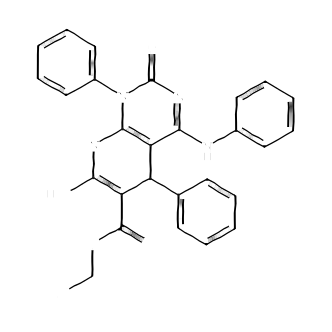 CCOC(=O)C1=C(C)Nc2c(c(Nc3ccccc3)nc(=O)n2-c2ccccc2)C1c1ccccc1